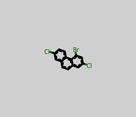 Clc1ccc2c(ccc3cc(Cl)cc(Br)c32)c1